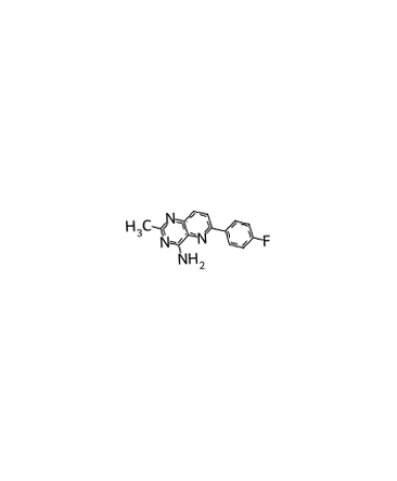 Cc1nc(N)c2nc(-c3ccc(F)cc3)ccc2n1